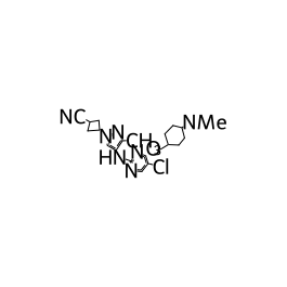 CNC1CCC(COc2nc(Nc3cn(C4CC(C#N)C4)nc3C)ncc2Cl)CC1